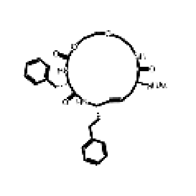 CC(=O)N[C@H]1C/C=C/[C@H](CCc2ccccc2)NC(=O)[C@H](Cc2ccccc2)NC(=O)OCCOCCNC1=O